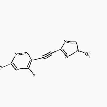 Cn1cnc(C#Cc2cnc(Cl)cc2F)n1